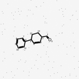 O=CC1C=CC(c2ccccc2)CC1